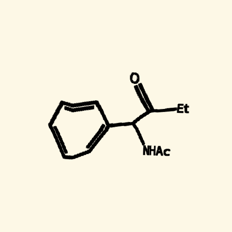 CCC(=O)C(NC(C)=O)c1ccccc1